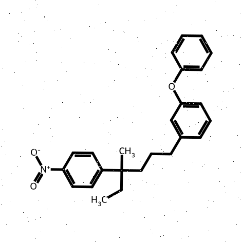 CCC(C)(CCCc1cccc(Oc2ccccc2)c1)c1ccc([N+](=O)[O-])cc1